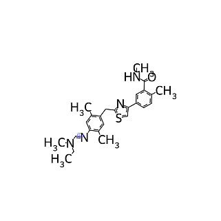 CCN(C)/C=N/c1cc(C)c(Cc2nc(-c3ccc(C)c(C(=O)NC)c3)cs2)cc1C